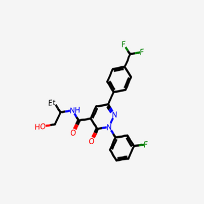 CCC(CO)NC(=O)c1cc(-c2ccc(C(F)F)cc2)nn(-c2cccc(F)c2)c1=O